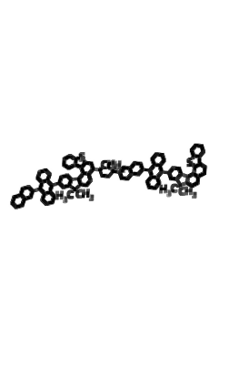 C=C(/C=C\C(=C)c1cc2sc3ccccc3c2c2c3c(ccc12)C(C)(C)c1cc(-c2c4ccccc4c(-c4ccc5ccccc5c4)c4ccccc24)ccc1-3)c1ccc2cc(-c3c4ccccc4c(-c4ccc5c(c4)C(C)(C)c4ccc6ccc7c8ccccc8sc7c6c4-5)c4ccccc34)ccc2c1